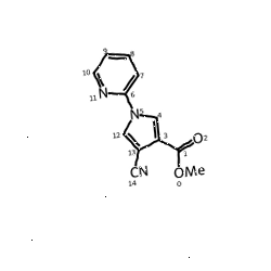 COC(=O)c1cn(-c2ccccn2)cc1C#N